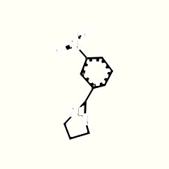 O=[N+]([O-])c1cccc(C2N3CCCN23)c1